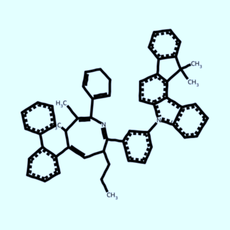 CCCC1/C=C(/c2ccccc2-c2ccccc2)C(C)/C(C)=C(C2=CCCC=C2)\N=C/1c1cccc(-n2c3ccccc3c3c4c(ccc32)-c2ccccc2C4(C)C)c1